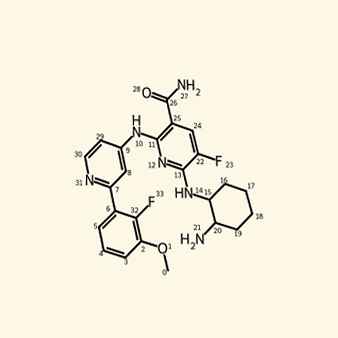 COc1cccc(-c2cc(Nc3nc(NC4CCCCC4N)c(F)cc3C(N)=O)ccn2)c1F